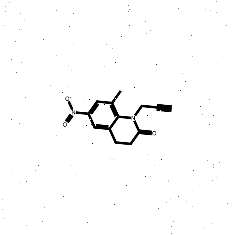 C#CCN1C(=O)CCc2cc([N+](=O)[O-])cc(C)c21